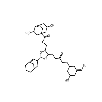 CC/C=C1/CC(O)CC(CCC(=O)CCC2OC(C3C=C4CCCC(C4)C3)OC2COC(=O)C23CC(=CC(C)C2)CC(O)C3)C1